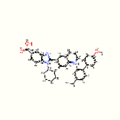 CCc1ccc(-c2ccc(OC)cc2-c2ccc3cc(-c4nc5cc(C(=O)O)ccc5n4C4CCCCC4)ccc3n2)cc1